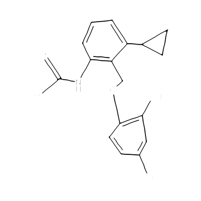 CCC(=O)Nc1cccc(C2CC2)c1COc1ccc(CC)cc1C